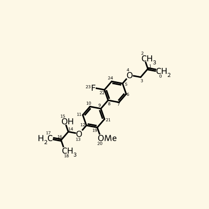 C=C(C)COc1ccc(-c2ccc(OC(O)C(=C)C)c(OC)c2)c(F)c1